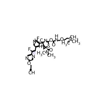 C#CCOc1cnc(/C(F)=C/c2cnc(F)c([C@@]3(C)N=C(OC(=O)NCOCC[Si](C)(C)C)S[C@@]4(C(=O)N(C)C)C[C@H]43)c2)cn1